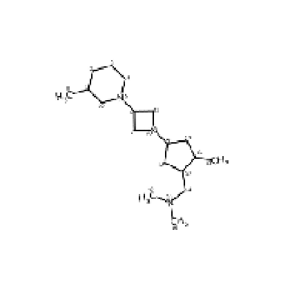 CC1CCCN(C2CN(C3CC(C)C(CN(C)C)C3)C2)C1